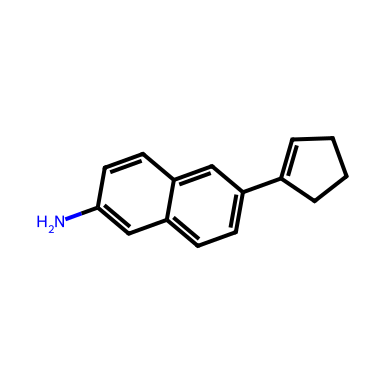 Nc1ccc2cc(C3=CCCC3)ccc2c1